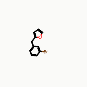 Brc1cccc(Cc2cc[c]o2)c1